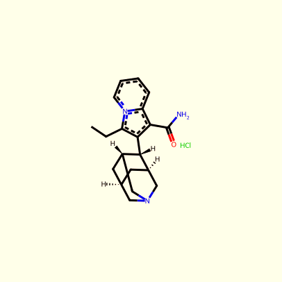 CCc1c([C@@H]2[C@@H]3C[C@@H]4C[C@H]2CN(C4)C3)c(C(N)=O)c2ccccn12.Cl